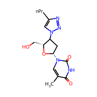 CCCc1cn(C2C[C@H](n3cc(C)c(=O)[nH]c3=O)O[C@@H]2CO)nn1